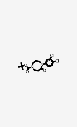 CC(C)(C)OC(=O)N1CCCN(c2ccc(Cl)c(Cl)c2)C(=O)CC1